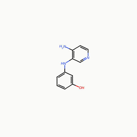 Nc1ccncc1Nc1cccc(O)c1